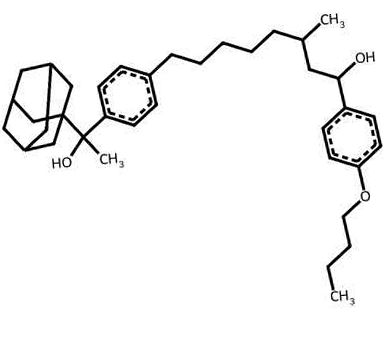 CCCCOc1ccc(C(O)CC(C)CCCCCc2ccc(C(C)(O)C34CC5CC(CC(C5)C3)C4)cc2)cc1